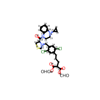 O=COC(=O)C(CCCc1cc(Cl)c(CN2CSC[C@H]2C(=O)N2CCN(C3CC3)c3ccccc32)cc1Cl)C(=O)OC=O